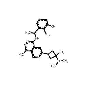 Cc1c(C#N)cccc1C(C)Nc1nnc(C)c2cnc(N3CC(C)(N(C)C)C3)cc12